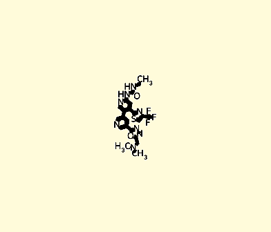 CCNC(=O)Nc1cc(-c2nc(C(F)(F)F)cs2)c(-c2cncc(-c3nnc(CN(C)C)o3)c2)cn1